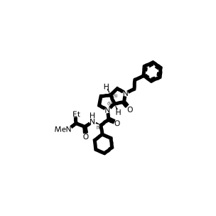 CCC(NC)C(=O)N[C@H](C(=O)N1CC[C@H]2CN(CCc3ccccc3)C(=O)[C@H]21)C1CCCCC1